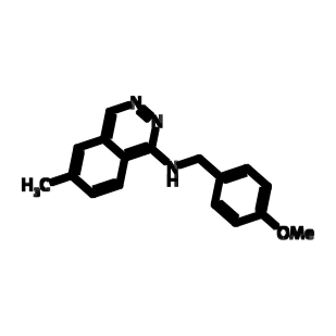 COc1ccc(CNc2nncc3cc(C)ccc23)cc1